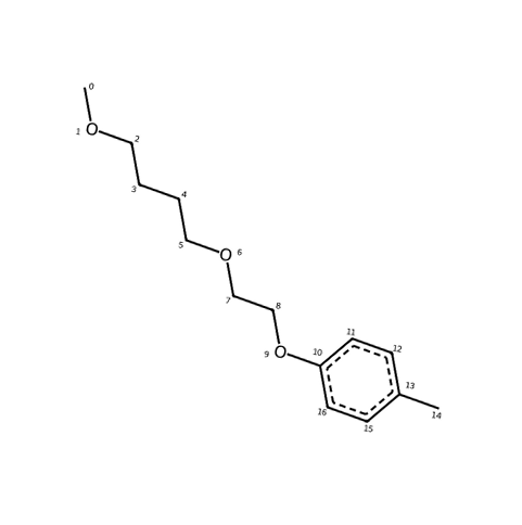 COCCCCOCCOc1ccc(C)cc1